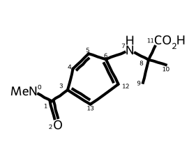 CNC(=O)c1ccc(NC(C)(C)C(=O)O)cc1